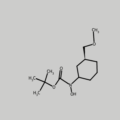 COC[C@H]1CCCC(N(O)C(=O)OC(C)(C)C)C1